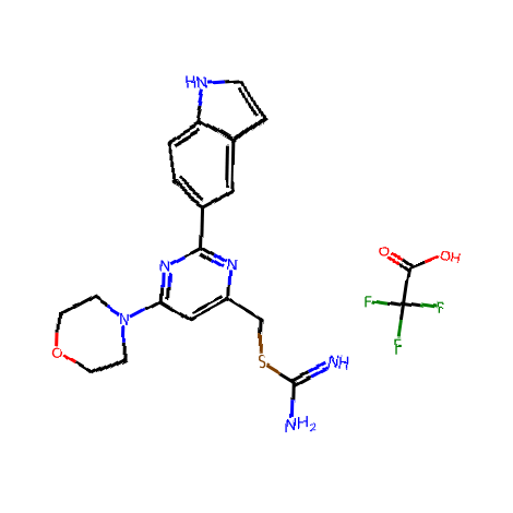 N=C(N)SCc1cc(N2CCOCC2)nc(-c2ccc3[nH]ccc3c2)n1.O=C(O)C(F)(F)F